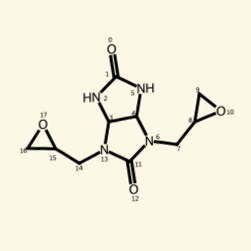 O=C1NC2C(N1)N(CC1CO1)C(=O)N2CC1CO1